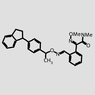 CNC(=O)C(=NOC)c1ccccc1C=NOC(C)c1ccc(C2CCc3ccccc32)cc1